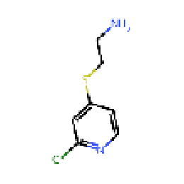 NCCSc1ccnc(Cl)c1